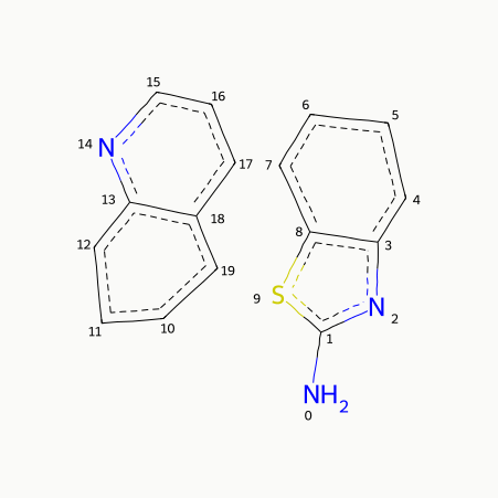 Nc1nc2ccccc2s1.c1ccc2ncccc2c1